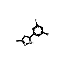 CC1=NNC(c2cc(F)cc(F)c2)C1